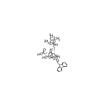 CC(C)(C)OC(=O)NCCCC[C@H](NC(=O)OCC1c2ccccc2-c2ccccc21)C(=O)N[C@@H](CCC(=O)O)C(=O)O